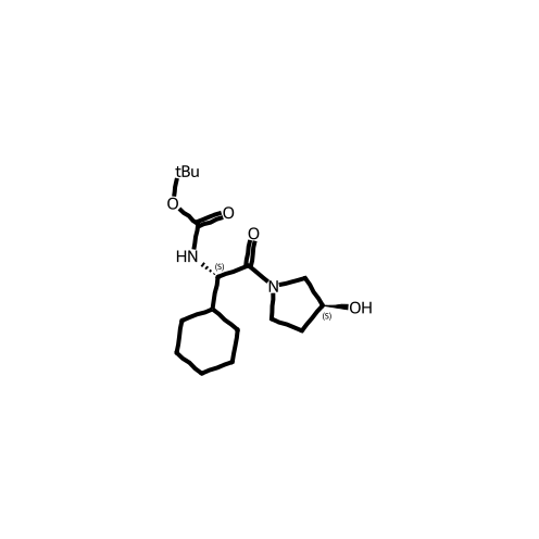 CC(C)(C)OC(=O)N[C@H](C(=O)N1CC[C@H](O)C1)C1CCCCC1